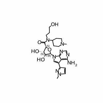 CN1CCC(N(CCCO)C(=O)[C@H]2O[C@@H](n3cc(-c4ccn(C)n4)c4c(N)ncnc43)[C@H](O)[C@@H]2O)CC1